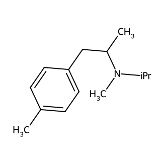 Cc1ccc(CC(C)N(C)C(C)C)cc1